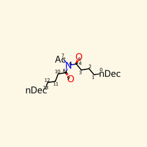 CCCCCCCCCCCCCC(=O)N(C(C)=O)C(=O)CCCCCCCCCCCCC